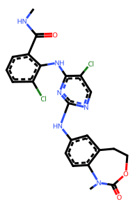 CNC(=O)c1cccc(Cl)c1Nc1nc(Nc2ccc3c(c2)CCOC(=O)N3C)ncc1Cl